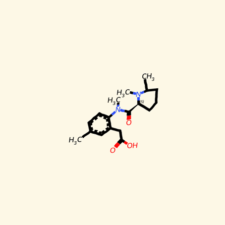 Cc1ccc(N(C)C(=O)[C@@H]2CCCC(C)N2C)c(CC(=O)O)c1